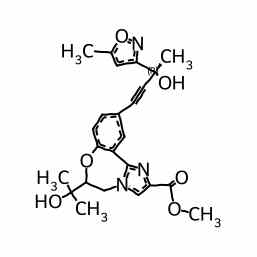 COC(=O)c1cn2c(n1)-c1cc(C#C[C@@](C)(O)c3cc(C)on3)ccc1OC(C(C)(C)O)C2